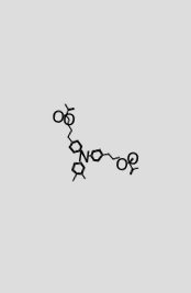 C=C(C)C(=O)OCCCc1ccc(N(c2ccc(CCCOC(=O)C(=C)C)cc2)c2ccc(C)c(C)c2)cc1